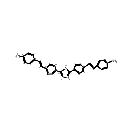 Nc1ccc(C=Cc2ccc(-c3nnc(-c4ccc(C=Cc5ccc(N)cc5)cc4)o3)cc2)cc1